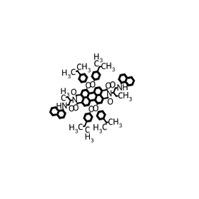 CCC(C(=O)Nc1cccc2ccccc12)N1C(=O)c2cc(Oc3ccc(C(C)C)cc3)c3c4c(Oc5ccc(C(C)C)cc5)cc5c6c(cc(Oc7ccc(C(C)C)cc7)c(c7c(Oc8ccc(C(C)C)cc8)cc(c2c37)C1=O)c64)C(=O)N(C(CC)C(=O)Nc1cccc2ccccc12)C5=O